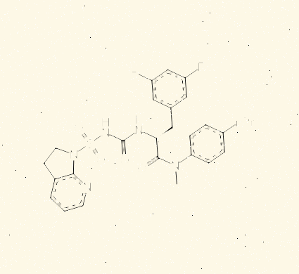 CCCc1ccc(N(C)C(=O)[C@H](Cc2cc(F)cc(F)c2)NC(=O)NS(=O)(=O)N2CCc3cccnc32)cc1